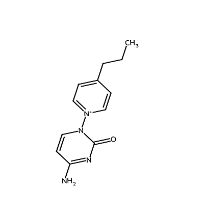 CCCc1cc[n+](-n2ccc(N)nc2=O)cc1